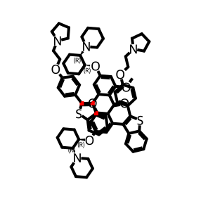 COc1cc(O[C@@H]2CCCC[C@H]2N2CCCCC2)cc(-c2c(-c3ccc(OCCN4CCCC4)cc3)sc3ccccc23)c1C(=O)c1c(OC)cc(O[C@@H]2CCCC[C@H]2N2CCCCC2)cc1-c1c(-c2ccc(OCCN3CCCC3)cc2)sc2ccccc12